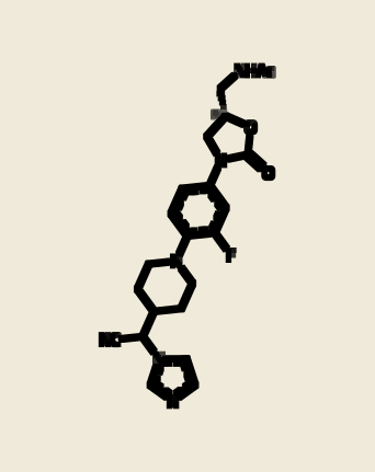 CC(=O)NC[C@H]1CN(c2ccc(N3CCC(C(C#N)n4ccnc4)CC3)c(F)c2)C(=O)O1